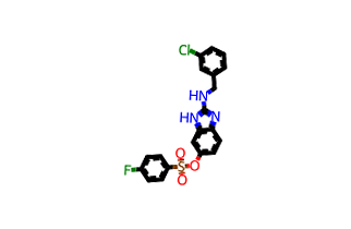 O=S(=O)(Oc1ccc2nc(NCc3cccc(Cl)c3)[nH]c2c1)c1ccc(F)cc1